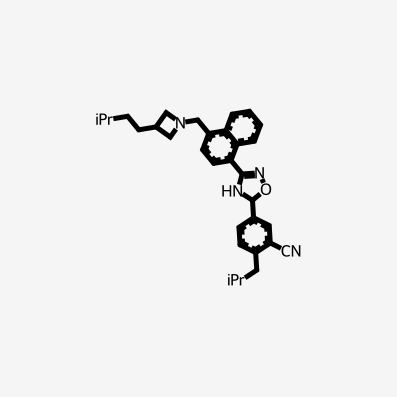 CC(C)CCC1CN(Cc2ccc(C3=NOC(c4ccc(CC(C)C)c(C#N)c4)N3)c3ccccc23)C1